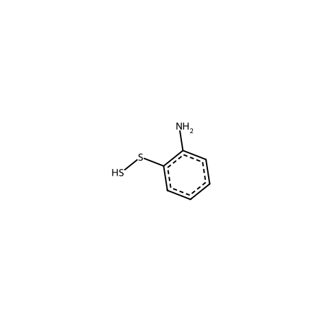 Nc1ccccc1SS